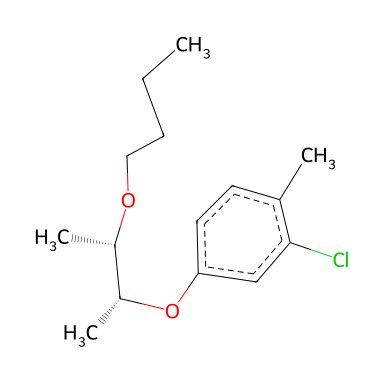 CCCCO[C@@H](C)[C@@H](C)Oc1ccc(C)c(Cl)c1